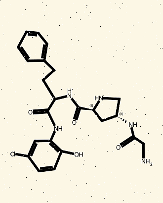 NCC(=O)N[C@H]1CN[C@H](C(=O)NC(CCc2ccccc2)C(=O)Nc2cc(Cl)ccc2O)C1